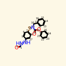 O=CNNc1ccc(SN(Cc2ccccc2)C(=O)Oc2ccccc2)cc1